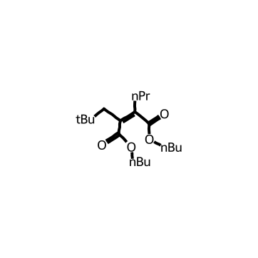 CCCCOC(=O)C(CCC)=C(CC(C)(C)C)C(=O)OCCCC